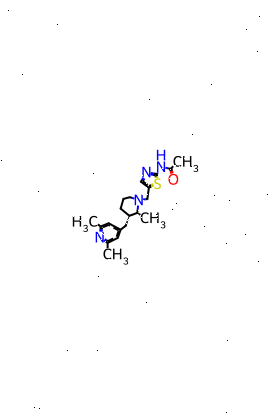 CC(=O)Nc1ncc(CN2CCC[C@H](Cc3cc(C)nc(C)c3)[C@@H]2C)s1